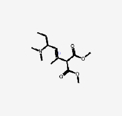 CCC(/C=C(\C)C(C(=O)OC)C(=O)OC)N(C)C